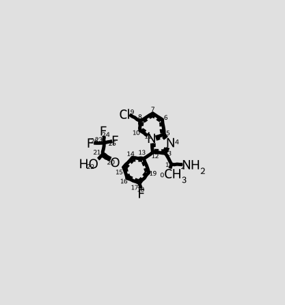 CC(N)c1nc2ccc(Cl)cn2c1-c1cccc(F)c1.O=C(O)C(F)(F)F